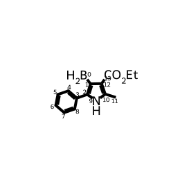 Bc1c(-c2ccccc2)[nH]c(C)c1C(=O)OCC